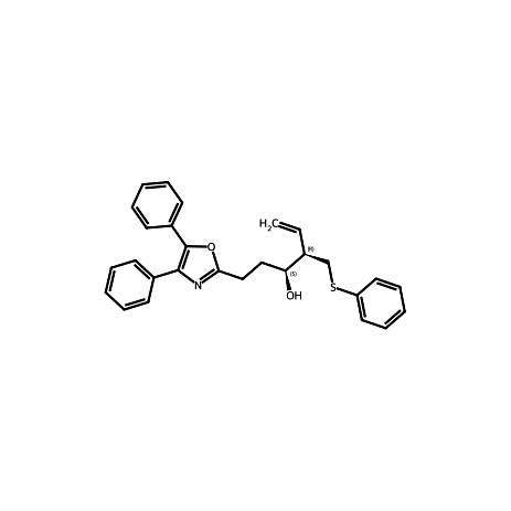 C=C[C@@H](CSc1ccccc1)[C@@H](O)CCc1nc(-c2ccccc2)c(-c2ccccc2)o1